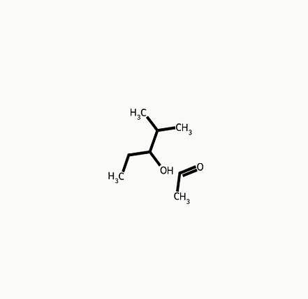 CC=O.CCC(O)C(C)C